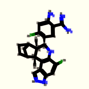 N=C(N)c1cc([C@@H]2Nc3c(F)cc4[nH]ncc4c3[C@H]3C4CCC(C4)[C@@H]23)c(F)cc1N